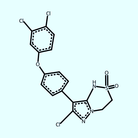 O=S1(=O)CCn2nc(Cl)c(-c3ccc(Oc4ccc(Cl)c(Cl)c4)cc3)c2N1